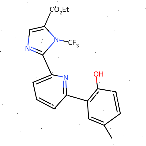 CCOC(=O)c1cnc(-c2cccc(-c3cc(C)ccc3O)n2)n1C(F)(F)F